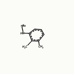 CCCCNc1cccc(C)c1C